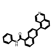 O=C(Nc1ccccc1)c1cccc2cc(-c3cccc4cnccc34)ccc12